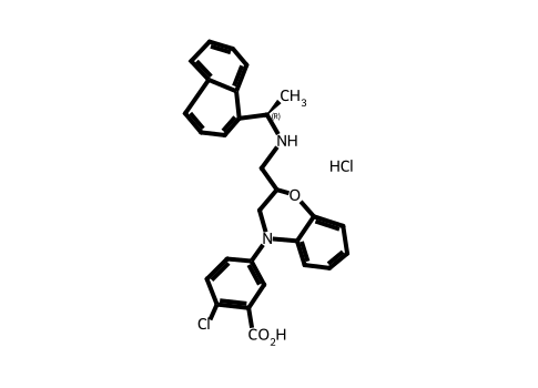 C[C@@H](NCC1CN(c2ccc(Cl)c(C(=O)O)c2)c2ccccc2O1)c1cccc2ccccc12.Cl